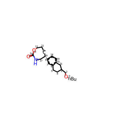 CCCCOCC1CCc2cc([C@H]3CCCOC(=O)NC3)ccc2C1